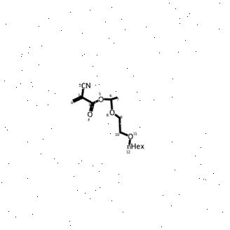 C=C(C#N)C(=O)OC(C)OCCOCCCCCC